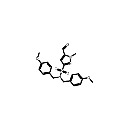 COc1ccc(CN(Cc2ccc(OC)cc2)S(=O)(=O)c2cc(C=O)n(C)n2)cc1